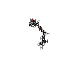 O=C1CCC(Nc2ccc(N3CCC(O)(CC(=O)N4CCC5(CC4)CN(c4ccc(-c6cc(F)c7c(c6)C(=O)N(C(C(=O)Nc6nccs6)c6ncn8c6CCC8)C7)cc4)C5)CC3)c(F)c2)C(=O)N1